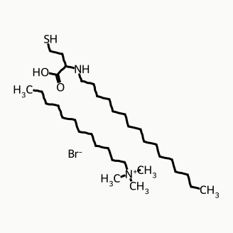 CCCCCCCCCCCCCCCCNC(CCS)C(=O)O.CCCCCCCCCCCC[N+](C)(C)C.[Br-]